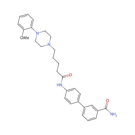 COc1ccccc1N1CCN(CCCCC(=O)Nc2ccc(-c3cccc(C(N)=O)c3)cc2)CC1